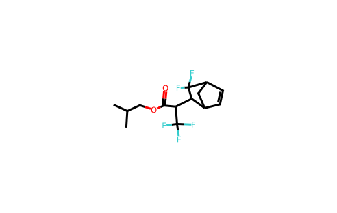 CC(C)COC(=O)C(C1C2C=CC(C2)C1(F)F)C(F)(F)F